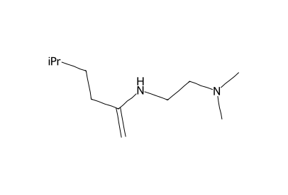 C=C(CCC(C)C)NCCN(C)C